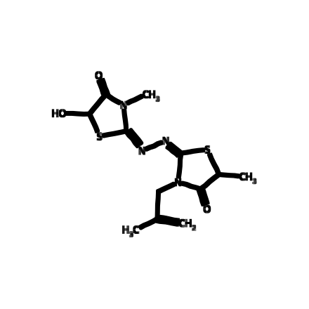 C=C(C)CN1C(=O)C(C)S/C1=N/N=C1/SC(O)C(=O)N1C